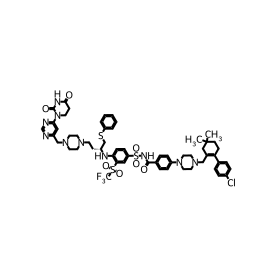 CC1(C)CCC(c2ccc(Cl)cc2)=C(CN2CCN(c3ccc(C(=O)NS(=O)(=O)c4ccc(N[C@H](CCN5CCN(Cc6cc(N7CCC(=O)NC7=O)ncn6)CC5)CSc5ccccc5)c(S(=O)(=O)C(F)(F)F)c4)cc3)CC2)C1